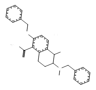 COC(=O)c1c(OCc2ccccc2)ccc2c1CCC(N(C)Cc1ccccc1)C2O.Cl